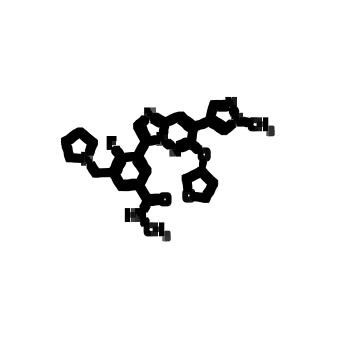 CNC(=O)c1cc(CN2CCCC2)c(F)c(-c2cnc3cc(-c4cnn(C)c4)c(O[C@H]4CCOC4)nn23)c1